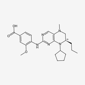 CCC[C@@H]1CN(C)c2cnc(Nc3ccc(C(=O)O)cc3OC)nc2N1C1CCCC1